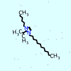 CCCCCCCCCCCCN1C=CN(CCCCCC)C1C(C)C